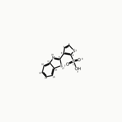 O=S(=O)(O)c1sccc1-c1nc2ccccc2s1